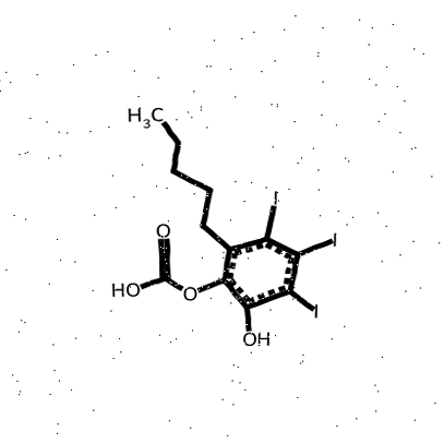 CCCCCc1c(I)c(I)c(I)c(O)c1OC(=O)O